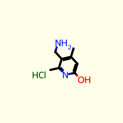 Cc1cc(O)nc(C)c1CN.Cl